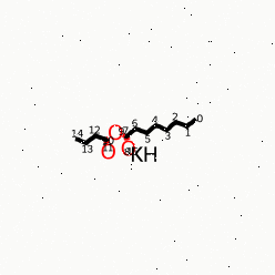 CCCCCCCC(=O)OC(=O)CCC.[KH]